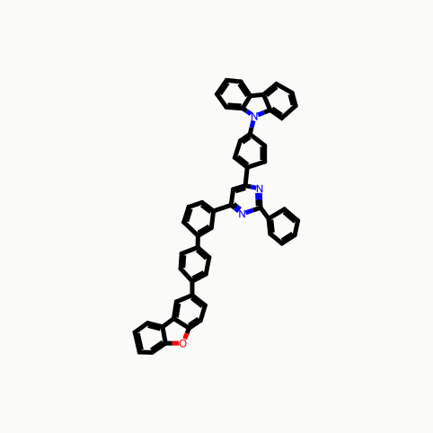 c1ccc(-c2nc(-c3ccc(-n4c5ccccc5c5ccccc54)cc3)cc(-c3cccc(-c4ccc(-c5ccc6oc7ccccc7c6c5)cc4)c3)n2)cc1